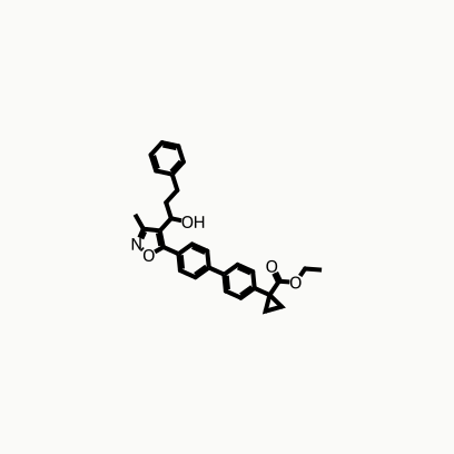 CCOC(=O)C1(c2ccc(-c3ccc(-c4onc(C)c4C(O)CCc4ccccc4)cc3)cc2)CC1